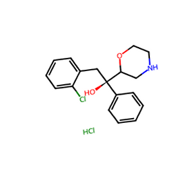 Cl.O[C@](Cc1ccccc1Cl)(c1ccccc1)C1CNCCO1